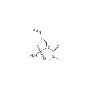 C=CCC[C@@H](C(=O)N(C)C)S(N)(=O)=O